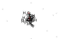 Cc1nc(CN(C(=O)O)[C@H](C(=O)N[C@@H](Cc2ccccc2)[C@@H](O)CN2CCN(Cc3ccc(F)cc3)C[C@H]2C(=O)NC(C)(C)C)C(C)C)cs1